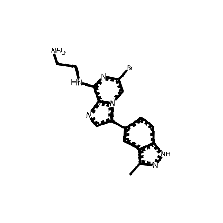 Cc1n[nH]c2ccc(-c3cnc4c(NCCN)nc(Br)cn34)cc12